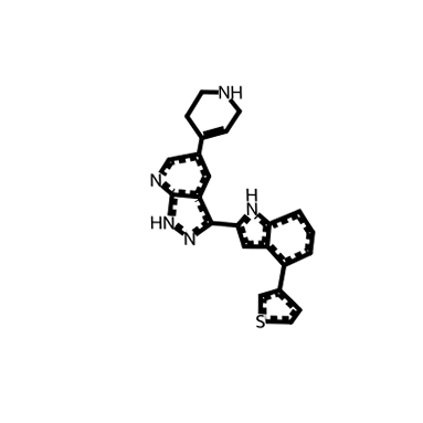 C1=C(c2cnc3[nH]nc(-c4cc5c(-c6ccsc6)cccc5[nH]4)c3c2)CCNC1